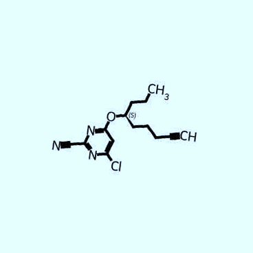 C#CCCC[C@H](CCC)Oc1cc(Cl)nc(C#N)n1